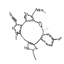 CC1NC2=C(S1)c1ccc(F)cc1[C@@H](C)Oc1cc(cnc1N)-c1c(C#N)nn(C)c1C2